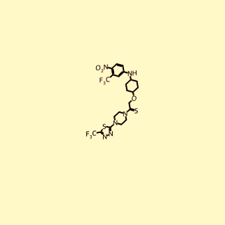 O=[N+]([O-])c1ccc(NC2CCC(OCC(=S)N3CCN(c4nnc(C(F)(F)F)s4)CC3)CC2)cc1C(F)(F)F